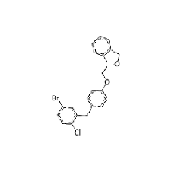 Clc1ccc(Br)cc1Cc1ccc(OCC2OCc3ccccc32)cc1